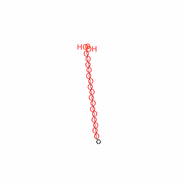 O=P(O)(O)CCOCCOCCOCCOCCOCCOCCOCCOCCOCCOCCOCCOCCOCCOCCOCCOCc1ccccc1